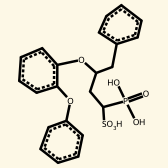 O=P(O)(O)C(CC(Cc1ccccc1)Oc1ccccc1Oc1ccccc1)S(=O)(=O)O